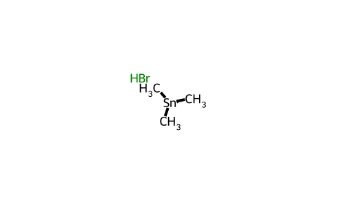 Br.[CH3][Sn]([CH3])[CH3]